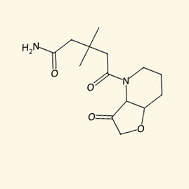 CC(C)(CC(N)=O)CC(=O)N1CCCC2OCC(=O)C21